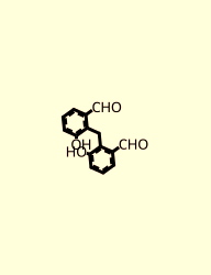 O=Cc1cccc(O)c1Cc1c(O)cccc1C=O